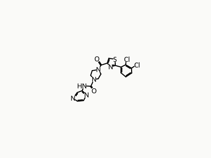 O=C(Nc1cnccn1)N1CCN(C(=O)c2csc(-c3cccc(Cl)c3Cl)n2)CC1